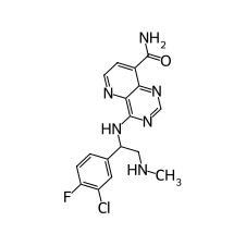 CNCC(Nc1ncnc2c(C(N)=O)ccnc12)c1ccc(F)c(Cl)c1